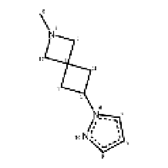 CN1CC2(CC(n3cccn3)C2)C1